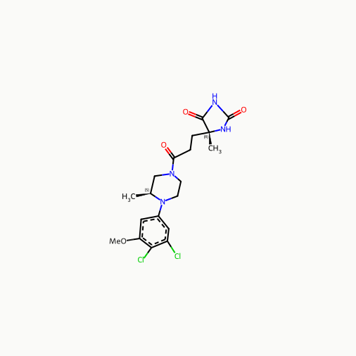 COc1cc(N2CCN(C(=O)CC[C@@]3(C)NC(=O)NC3=O)C[C@@H]2C)cc(Cl)c1Cl